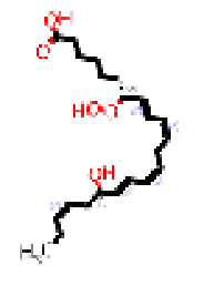 CC/C=C\C[C@@H](O)/C=C/C=C\C/C=C\C=C\[C@@H](CCCCCC(=O)O)OO